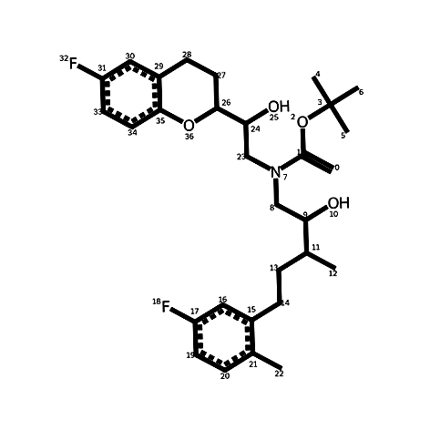 C=C(OC(C)(C)C)N(CC(O)C(C)CCc1cc(F)ccc1C)CC(O)C1CCc2cc(F)ccc2O1